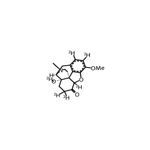 [2H]O[C@@]12CC([2H])([2H])C(=O)C3([2H])Oc4c(OC)c([2H])c([2H])c5c4[C@@]31CCN(C)[C@@H]2C5